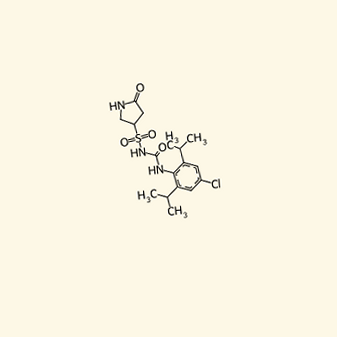 CC(C)c1cc(Cl)cc(C(C)C)c1NC(=O)NS(=O)(=O)C1CNC(=O)C1